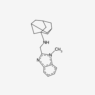 Cn1c(CNC23CC4CC(CC(C4)C2)C3)nc2ccccc21